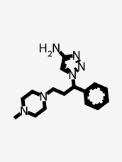 CN1CCN(CCC(c2ccccc2)n2cc(N)nn2)CC1